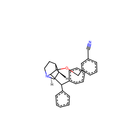 N#Cc1cccc(CO[C@H]2C3CCN(CC3)[C@@H]2C(c2ccccc2)c2ccccc2)c1